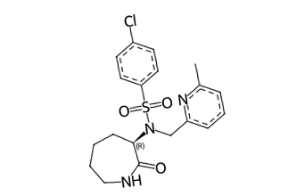 Cc1cccc(CN([C@@H]2CCCCNC2=O)S(=O)(=O)c2ccc(Cl)cc2)n1